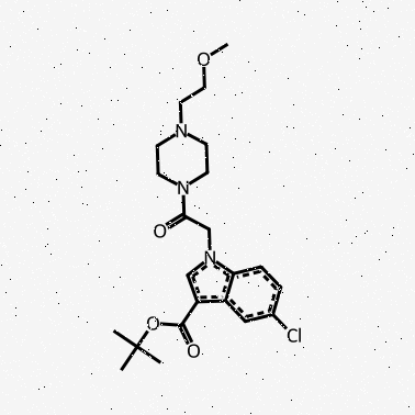 COCCN1CCN(C(=O)Cn2cc(C(=O)OC(C)(C)C)c3cc(Cl)ccc32)CC1